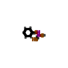 S=[PH](S)SC1CCCCC1